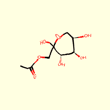 CC(=O)OCC1(O)OC[C@@H](O)[C@@H](O)[C@@H]1O